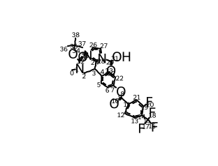 CN(CC(c1ccc(OC(=O)c2ccc(C(F)(F)F)c(F)c2)cc1)c1nccn1C(=O)O)C(=O)OC(C)(C)C